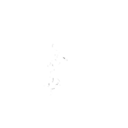 COc1cc2nccc(OC3CCN(CC(=O)N4CC(F)CC4C#N)CC3)c2cc1OC